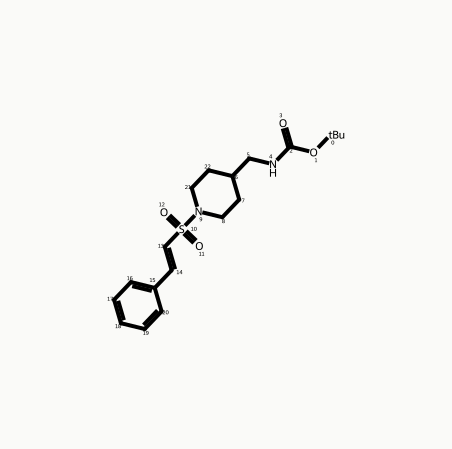 CC(C)(C)OC(=O)NCC1CCN(S(=O)(=O)/C=C/c2ccccc2)CC1